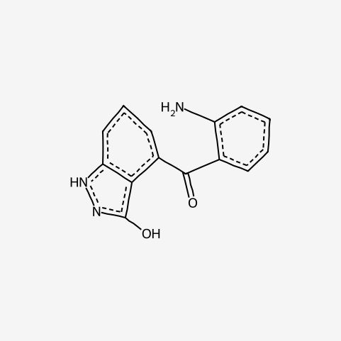 Nc1ccccc1C(=O)c1cccc2[nH]nc(O)c12